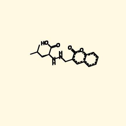 CC(C)C[C@H](NNCc1cc2ccccc2oc1=O)C(=O)O